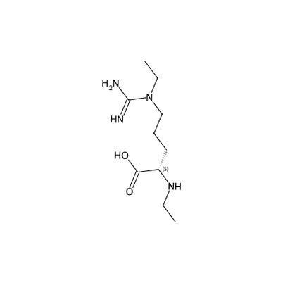 CCN[C@@H](CCCN(CC)C(=N)N)C(=O)O